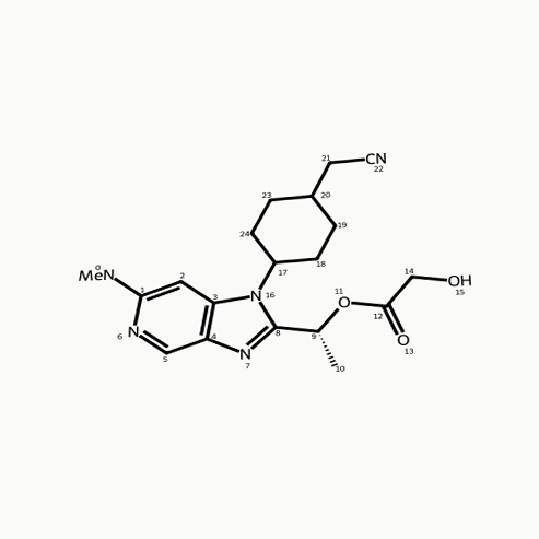 CNc1cc2c(cn1)nc([C@@H](C)OC(=O)CO)n2C1CCC(CC#N)CC1